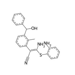 Cc1c(/C(C#N)=C(\N)Sc2ccccc2N)cccc1C(O)c1ccccc1